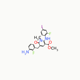 COC(=O)c1cc(Cc2cccc(N)c2F)c(=O)n(C)c1Nc1ccc(I)cc1F